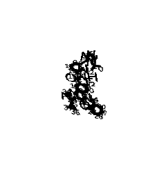 CC(C)n1cnnc1-c1cccc(NC(=O)c2cc3c(cc2F)n(Cc2ccccc2)c(=O)c2c(C4CC4)ncn23)n1